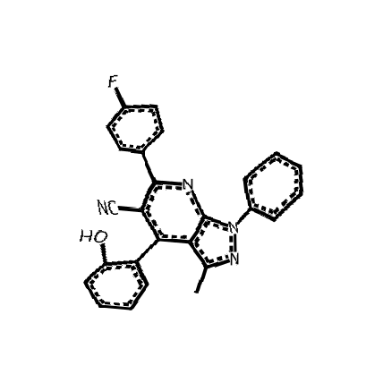 Cc1nn(-c2ccccc2)c2nc(-c3ccc(F)cc3)c(C#N)c(-c3ccccc3O)c12